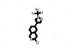 [2H]C([2H])([2H])n1cc(-c2ccc3cnc(Cl)cc3c2)cn1